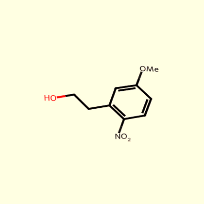 COc1ccc([N+](=O)[O-])c(CCO)c1